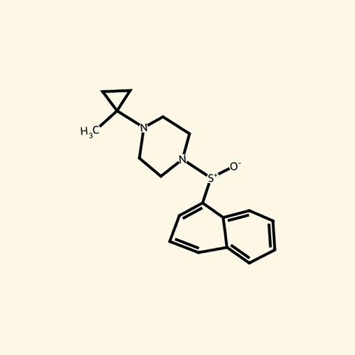 CC1(N2CCN([S+]([O-])c3cccc4ccccc34)CC2)CC1